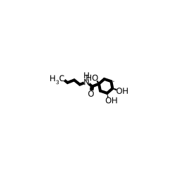 CCCCNC(=O)[C@]1(O)C[CH][C@@H](O)[C@H](O)C1